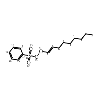 CCCCCCCC=COOS(=O)(=O)c1ccccc1